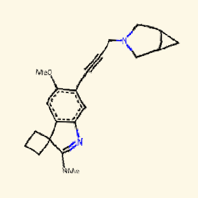 CNC1=Nc2cc(C#CCN3CC4CC4C3)c(OC)cc2C12CCC2